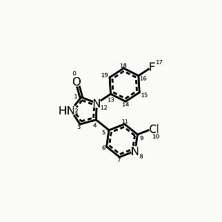 O=c1[nH]cc(-c2ccnc(Cl)c2)n1-c1ccc(F)cc1